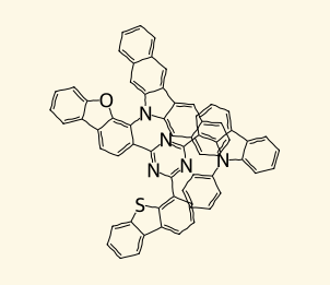 c1ccc(-n2c3ccccc3c3cccc(-c4nc(-c5ccc6c(oc7ccccc76)c5-n5c6cc7ccccc7cc6c6cc7ccccc7cc65)nc(-c5cccc6c5sc5ccccc56)n4)c32)cc1